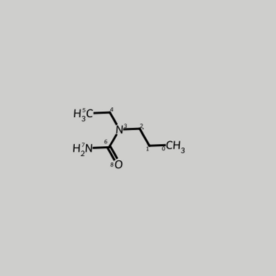 CC[CH]N(CC)C(N)=O